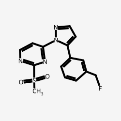 CS(=O)(=O)c1nccc(-n2nccc2-c2cccc(CF)c2)n1